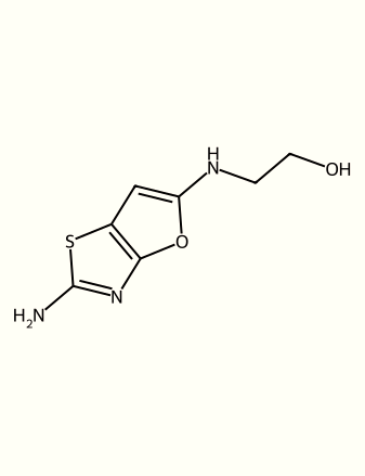 Nc1nc2oc(NCCO)cc2s1